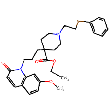 CCOC(=O)C1(CCCn2c(=O)ccc3ccc(OC)cc32)CCN(CCSc2ccccc2)CC1